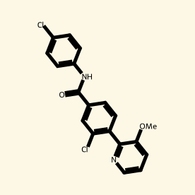 COc1cccnc1-c1ccc(C(=O)Nc2ccc(Cl)cc2)cc1Cl